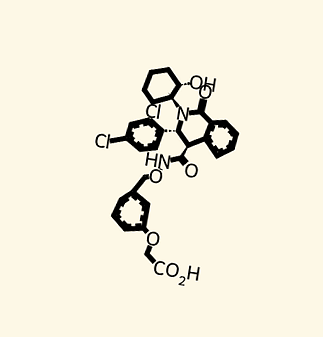 O=C(O)COc1cccc(CONC(=O)[C@@H]2c3ccccc3C(=O)N([C@H]3CCCC[C@@H]3O)[C@H]2c2ccc(Cl)cc2Cl)c1